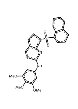 COc1cc(Nc2ncc3ccn(S(=O)(=O)c4cccc5cccnc45)c3n2)cc(OC)c1OC